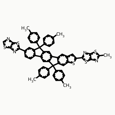 Cc1ccc(C2(c3ccc(C)cc3)c3cc(-c4nc5scnc5s4)ccc3-c3cc4c(cc32)-c2cc3cc(-c5nc6sc(C)nc6s5)sc3cc2C4(c2ccc(C)cc2)c2ccc(C)cc2)cc1